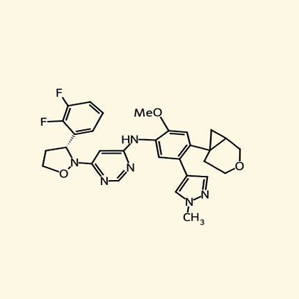 COc1cc(C23CCOCC2C3)c(-c2cnn(C)c2)cc1Nc1cc(N2OCC[C@@H]2c2cccc(F)c2F)ncn1